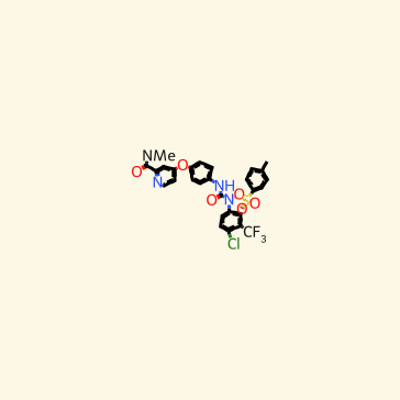 CNC(=O)c1cc(Oc2ccc(NC(=O)N(OS(=O)(=O)c3ccc(C)cc3)c3ccc(Cl)c(C(F)(F)F)c3)cc2)ccn1